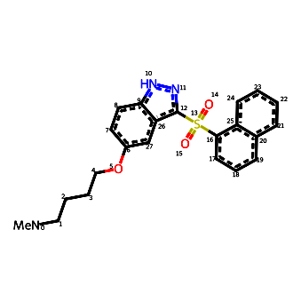 CNCCCCOc1ccc2[nH]nc(S(=O)(=O)c3cccc4ccccc34)c2c1